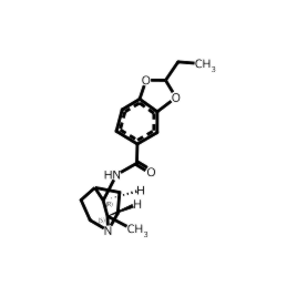 CCC1Oc2ccc(C(=O)N[C@@H]3C4CCN(CC4)[C@H]3C)cc2O1